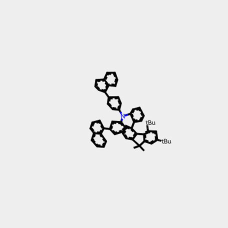 CC(C)(C)c1cc(C(C)(C)C)c2c(c1)C(C)(C)c1cccc(-c3ccccc3N(c3ccc(-c4cccc5ccccc45)cc3)c3cccc(-c4cccc5ccccc45)c3)c1-2